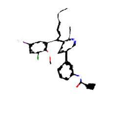 C#CC(=O)Nc1cccc(-c2cnc(C)c(/C(=C\CCC)c3cc(P)cc(F)c3OC)c2)c1